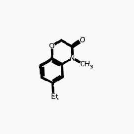 CCc1ccc2c(c1)N(C)C(=O)CO2